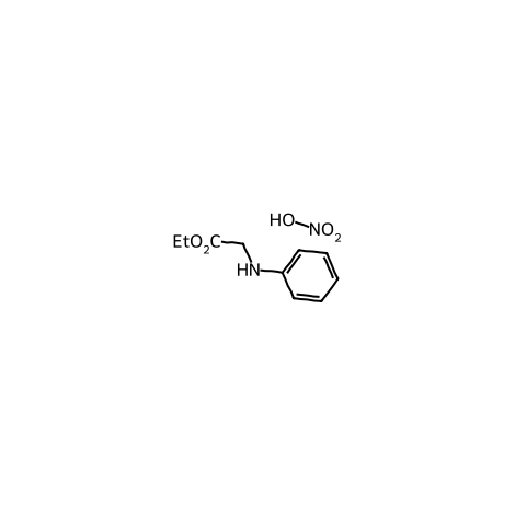 CCOC(=O)CNc1ccccc1.O=[N+]([O-])O